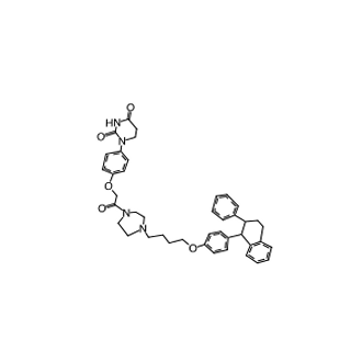 O=C1CCN(c2ccc(OCC(=O)N3CCN(CCCCOc4ccc(C5c6ccccc6CCC5c5ccccc5)cc4)CC3)cc2)C(=O)N1